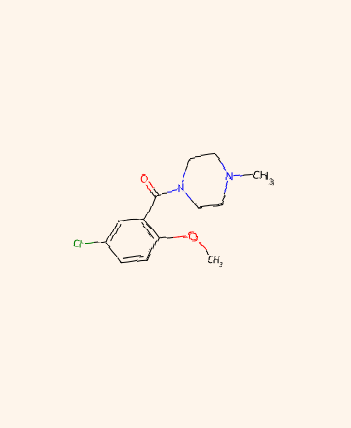 COc1ccc(Cl)cc1C(=O)N1CCN(C)CC1